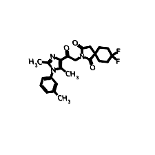 Cc1cccc(-n2c(C)nc(C(=O)CN3C(=O)CC4(CCC(F)(F)CC4)C3=O)c2C)c1